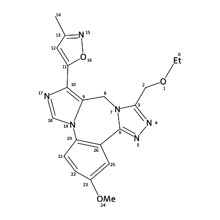 CCOCc1nnc2n1Cc1c(-c3cc(C)no3)ncn1-c1ccc(OC)cc1-2